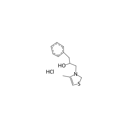 CC1=CSCN1CC(O)Cc1ccccc1.Cl